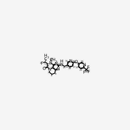 C[C@@H](F)[C@H]1C(=O)N2CCCc3nc(NCc4ccc(Oc5ccc(C(F)(F)F)nc5)nc4)nc(c32)N1C